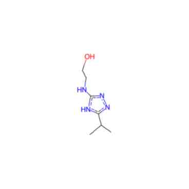 CC(C)c1nnc(NCCO)[nH]1